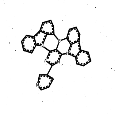 c1cncc(-c2nc3c4c(n2)-n2c5ccccc5c5cccc(c52)B4c2cccc4c5ccccc5n-3c24)c1